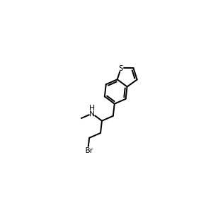 CNC(CCBr)Cc1ccc2sccc2c1